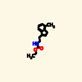 CCOC(=O)NCCC1=CCc2c(C)cccc21